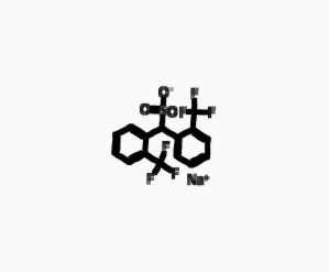 O=S(=O)([O-])C(c1ccccc1C(F)(F)F)c1ccccc1C(F)(F)F.[Na+]